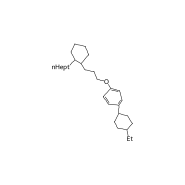 CCCCCCCC1CCCCC1CCCOc1ccc(C2CCC(CC)CC2)cc1